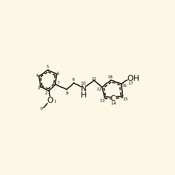 COc1ccccc1CCNCc1cccc(O)c1